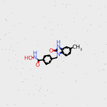 Cc1ccc2c(c1)[nH]c(=O)n2Cc1ccc(C(=O)NO)cc1